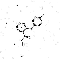 Cc1ccc(Oc2ccccc2C(=O)CO)cc1